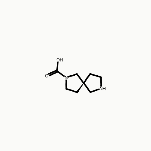 O=C(O)N1CC[C@]2(CCNC2)C1